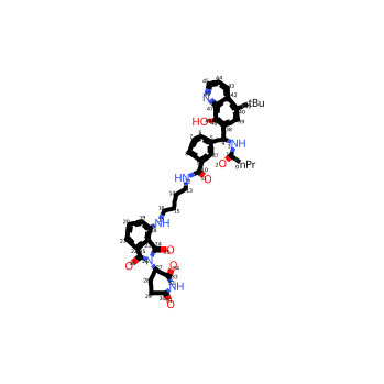 CCCC(=O)NC(c1cccc(C(=O)NCCCCNc2cccc3c2C(=O)N(C2CCC(=O)NC2=O)C3=O)c1)c1cc(C(C)(C)C)c2cccnc2c1O